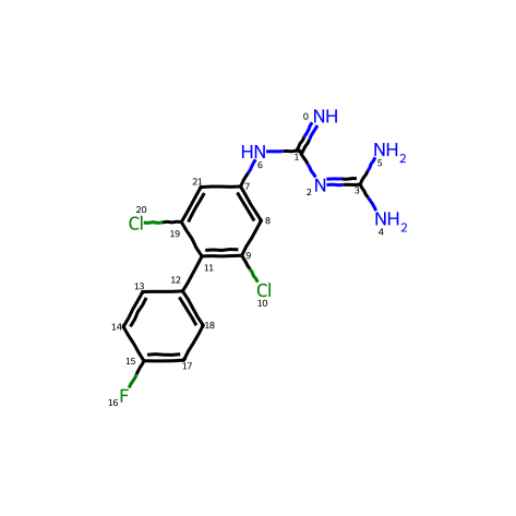 N=C(N=C(N)N)Nc1cc(Cl)c(-c2ccc(F)cc2)c(Cl)c1